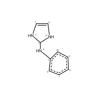 C1=CNC(Nc2ccccc2)N1